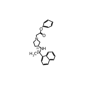 C[C@@H](N[C@H]1CCN(CC(=O)Oc2ccccc2)C1)c1cccc2ccccc12